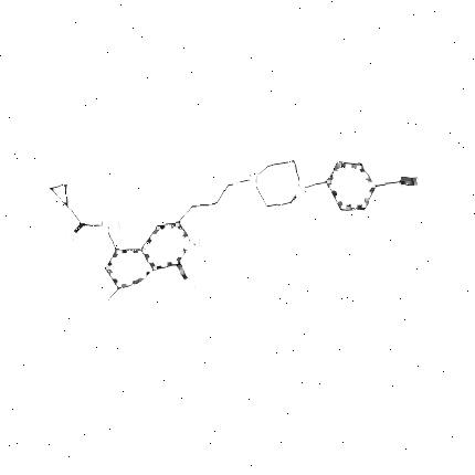 N#Cc1ccc(N2CCN(CCCc3cc4c(NC(=O)C5CC5)cc(F)cc4c(=O)[nH]3)CC2)cc1